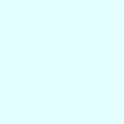 C=CCCC1(C)CC(=O)c2ccc(C(F)(F)F)cc2O1